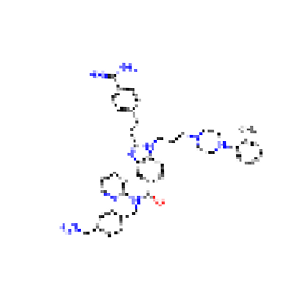 Cc1ccccc1N1CCN(CCCn2c(CCc3ccc(C(=N)N)cc3)nc3cc(C(=O)N(Cc4ccc(CN)cc4)c4ccccn4)ccc32)CC1